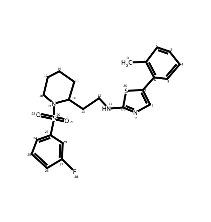 Cc1[c]cccc1-c1cnc(NCCC2CCCCN2S(=O)(=O)c2cccc(F)c2)s1